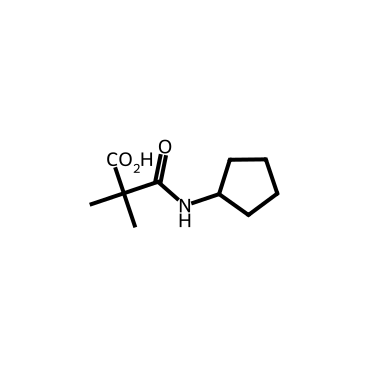 CC(C)(C(=O)O)C(=O)NC1CCCC1